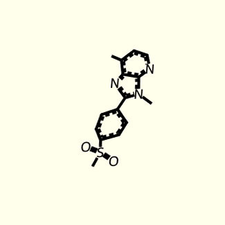 Cc1ccnc2c1nc(-c1ccc(S(C)(=O)=O)cc1)n2C